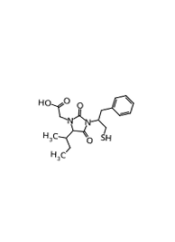 CCC(C)C1C(=O)N(C(CS)Cc2ccccc2)C(=O)N1CC(=O)O